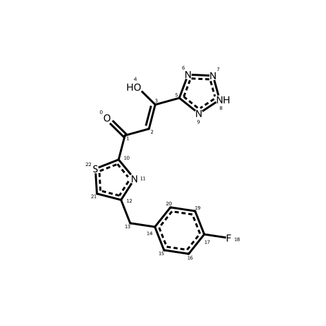 O=C(C=C(O)c1nn[nH]n1)c1nc(Cc2ccc(F)cc2)cs1